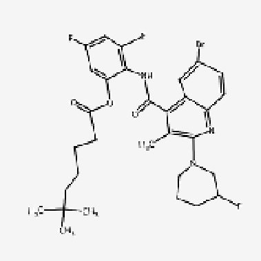 Cc1c(N2CCCC(F)C2)nc2ccc(Br)cc2c1C(=O)Nc1c(F)cc(F)cc1OC(=O)CCCCC(C)(C)C